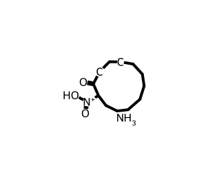 N.O=C1CCCCCCCCCCC1[N+](=O)O